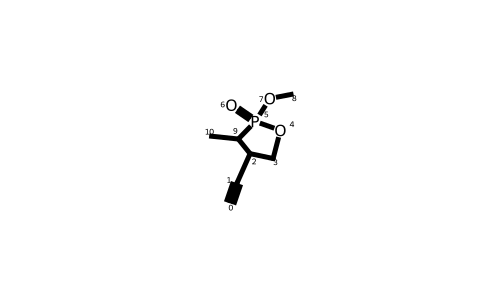 C#CC1COP(=O)(OC)C1C